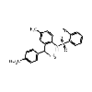 CC(C)c1ccccc1S(=O)(=O)Nc1ccc(C(F)(F)F)cc1C(N)c1ccc(C(=O)O)cc1